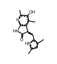 Cc1cc(C)c(/C=C2\C(=O)Nc3nc(C)c(O)c(C)c32)[nH]1